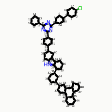 Clc1ccc(-c2ccc(-c3nc(-c4ccccc4)nc(-c4ccc(-c5ccc6[nH]c7c(-c8cccc(-c9ccc%10c%11ccccc%11c%11ccccc%11c%10c9)c8)cccc7c6c5)cc4)n3)cc2)cc1